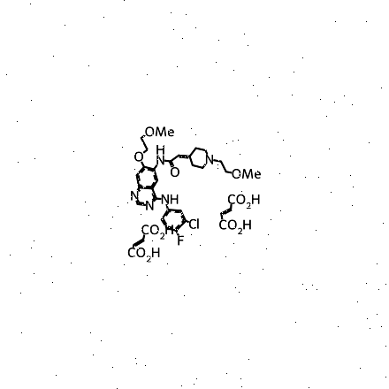 COCCOc1cc2ncnc(Nc3ccc(F)c(Cl)c3)c2cc1NC(=O)C=C1CCN(CCOC)CC1.O=C(O)C=CC(=O)O.O=C(O)C=CC(=O)O